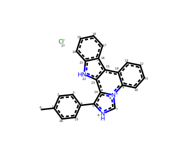 Cc1ccc(-c2[nH]c[n+]3c4ccccc4c4c5ccccc5[nH]c4c23)cc1.[Cl-]